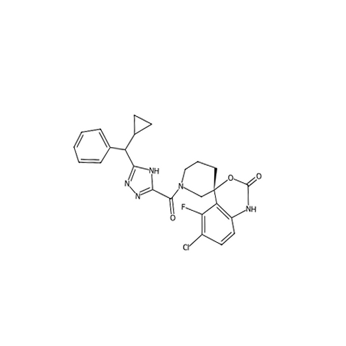 O=C1Nc2ccc(Cl)c(F)c2[C@@]2(CCCN(C(=O)c3nnc(C(c4ccccc4)C4CC4)[nH]3)C2)O1